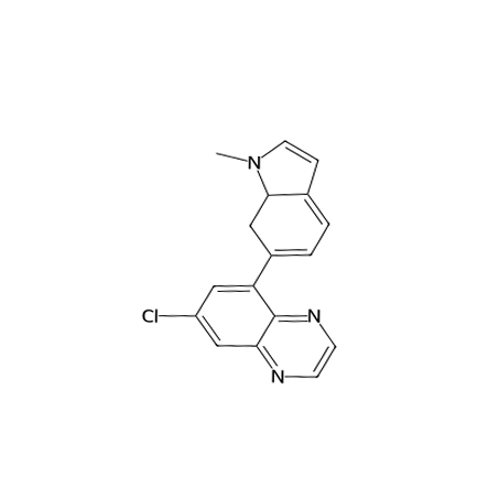 CN1C=CC2=CC=C(c3cc(Cl)cc4nccnc34)CC21